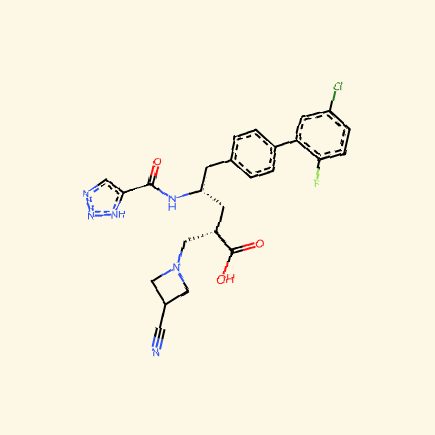 N#CC1CN(C[C@H](C[C@@H](Cc2ccc(-c3cc(Cl)ccc3F)cc2)NC(=O)c2cnn[nH]2)C(=O)O)C1